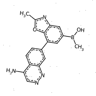 CB(O)c1cc(-c2ccc3c(N)cnnc3c2)c2oc(C)nc2c1